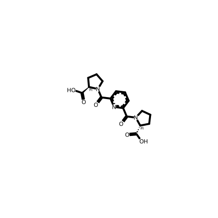 O=C(O)[C@H]1CCCN1C(=O)c1cccc(C(=O)N2CCC[C@@H]2C(=O)O)n1